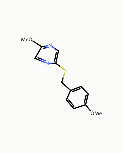 COc1ccc(CSc2cnc(OC)cn2)cc1